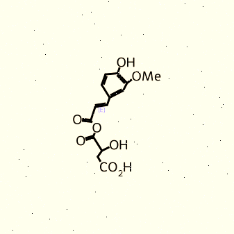 COc1cc(/C=C/C(=O)OC(=O)C(O)CC(=O)O)ccc1O